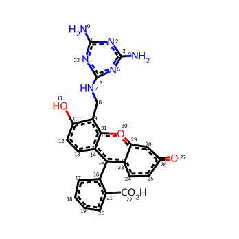 Nc1nc(N)nc(NCc2c(O)ccc3c(-c4ccccc4C(=O)O)c4ccc(=O)cc-4oc23)n1